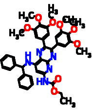 CCOC(=O)Nc1cc(NC(c2ccccc2)c2ccccc2)c2nc(-c3cc(OC)c(OC)c(OC)c3)c(-c3cc(OC)c(OC)c(OC)c3)nc2n1